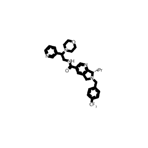 CC(C)[C@H]1c2ncc(C(=O)NCC(c3cccnc3)N3CCOCC3)cc2CN1Cc1ccc(C(F)(F)F)cc1